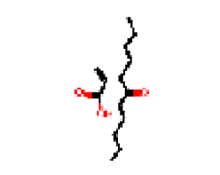 C=CC(=O)O.CCCCCC(=O)CCCCC